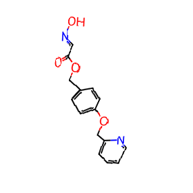 O=C(/C=N/O)OCc1ccc(OCc2ccccn2)cc1